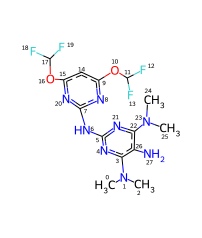 CN(C)c1nc(Nc2nc(OC(F)F)cc(OC(F)F)n2)nc(N(C)C)c1N